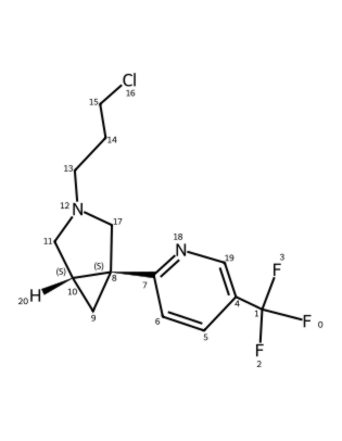 FC(F)(F)c1ccc([C@@]23C[C@@H]2CN(CCCCl)C3)nc1